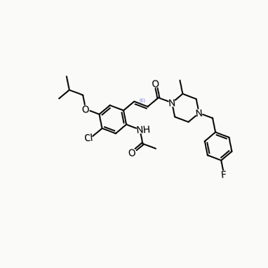 CC(=O)Nc1cc(Cl)c(OCC(C)C)cc1/C=C/C(=O)N1CCN(Cc2ccc(F)cc2)CC1C